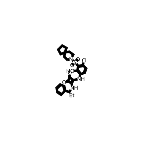 CC[C@@H](Nc1c(Nc2ccc(Cl)c(S(=O)(=O)N3CCC4(CCCC4)CC3)c2O)c(=O)c1=O)c1ccccc1